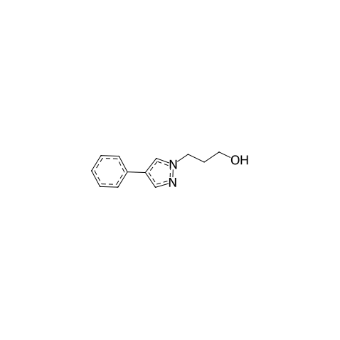 OCCCn1cc(-c2ccccc2)cn1